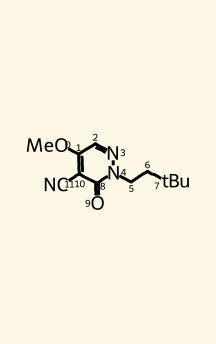 COc1cnn(CCC(C)(C)C)c(=O)c1C#N